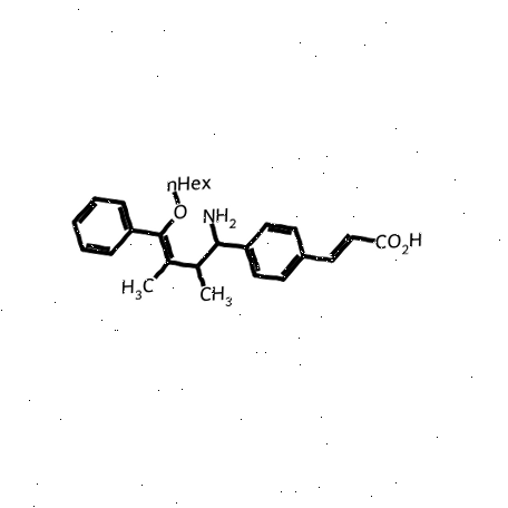 CCCCCCOC(=C(C)C(C)C(N)c1ccc(C=CC(=O)O)cc1)c1ccccc1